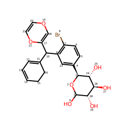 OC1O[C@@H](c2ccc(Br)c(C(C3=CC=CCC3)C3=COC=CO3)c2)[C@H](O)[C@@H](O)[C@@H]1O